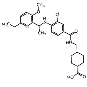 CCc1ccc(OC)c(C(C)Nc2ccc(C(=O)NC[C@H]3CC[C@H](C(=O)O)CC3)cc2Cl)n1